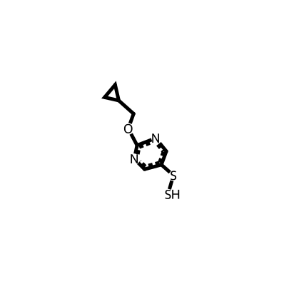 SSc1cnc(OCC2CC2)nc1